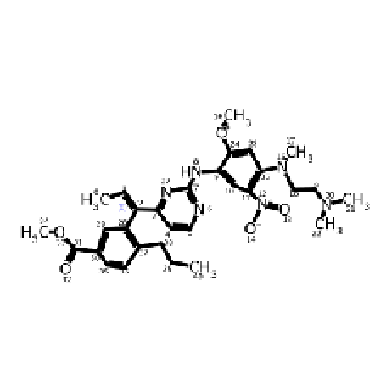 C/C=C(/c1ccnc(Nc2cc([N+](=O)[O-])c(N(C)CCN(C)C)cc2OC)n1)c1cc(C(=O)OC)ccc1CCC